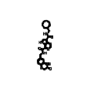 O=C1COc2ccc(CNC(=O)c3ncnc4c(C(=O)NCC5CCCCCC5)c[nH]c34)cc2N1